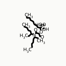 CCCCCCCCC(OC(C=O)C(=O)N(C(CC)CCCCC)C(CC)CCCCC)P(=O)(O)O